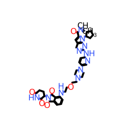 CN(C)C(=O)c1cc2cnc(Nc3ccc(N4CCN(CCOCCNc5cccc6c5C(=O)N(C5CCC(=O)NC5=O)C6=O)CC4)cn3)nc2n1C1CCCC1